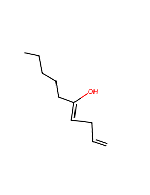 C=CCC=C(O)CCCCC